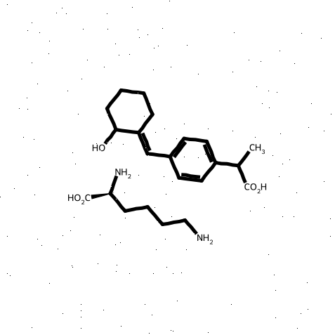 CC(C(=O)O)c1ccc(C=C2CCCCC2O)cc1.NCCCC[C@H](N)C(=O)O